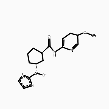 CC(C)OC1C=NC(NC(=O)[C@@H]2CCC[C@@H]([S+]([O-])c3nccs3)C2)=CC1